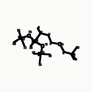 C=C(C)COCCC(C)[Si](C)(O[Si](C)(C)C)O[Si](C)(C)C